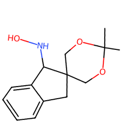 CC1(C)OCC2(CO1)Cc1ccccc1C2NO